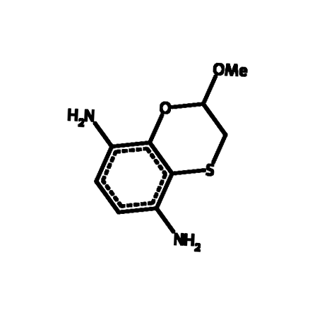 COC1CSc2c(N)ccc(N)c2O1